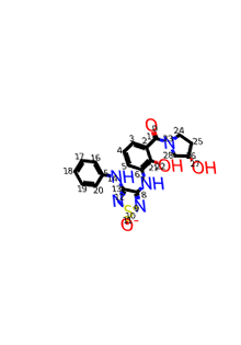 O=C(c1cccc(Nc2n[s+]([O-])nc2Nc2ccccc2)c1O)N1CC[C@@H](O)C1